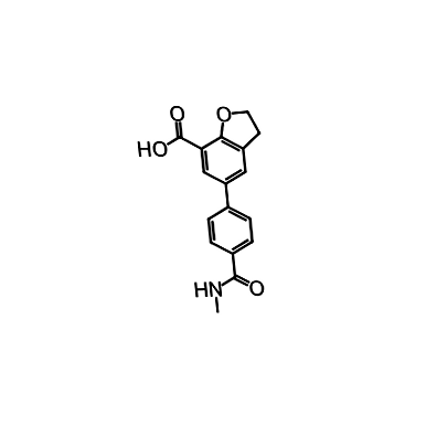 CNC(=O)c1ccc(-c2cc3c(c(C(=O)O)c2)OCC3)cc1